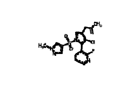 CNCc1cn(S(=O)(=O)c2cnn(C)c2)c(-c2cccnc2F)c1Cl